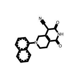 N#CC1C(=O)NC(=O)C2=C1CN(c1cccc3ccccc13)CC2